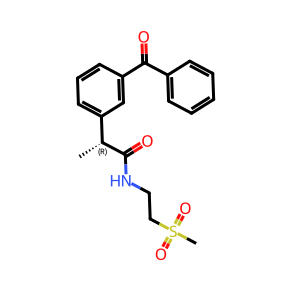 C[C@@H](C(=O)NCCS(C)(=O)=O)c1cccc(C(=O)c2ccccc2)c1